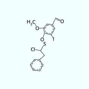 COc1cc(C=O)cc(I)c1OSC(Cl)Cc1ccccc1